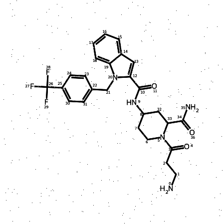 NCCC(=O)N1CCC(NC(=O)c2cc3ccccc3n2Cc2ccc(C(F)(F)F)cc2)CC1C(N)=O